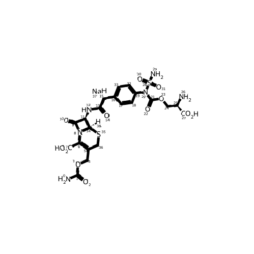 NC(=O)OCC1=C(C(=O)O)N2C(=O)[C@@H](NC(=O)Cc3ccc(N(C(=O)OC[C@@H](N)C(=O)O)S(N)(=O)=O)cc3)[C@H]2SC1.[NaH]